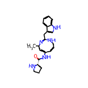 CC1/C=C(NC(=O)[C@@H]2CCCN2)\C=C/CN/C(Cc2c[nH]c3ccccc23)=N\1